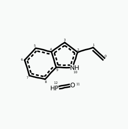 C=Cc1cc2ccccc2[nH]1.O=P